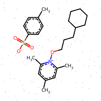 Cc1cc(C)[n+](OCCCC2CCCCC2)c(C)c1.Cc1ccc(S(=O)(=O)[O-])cc1